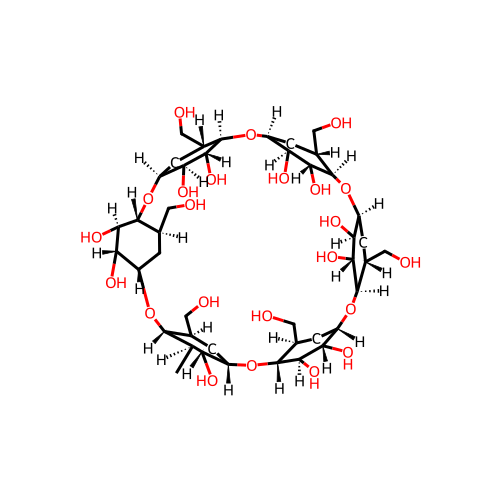 C[C@@H]1[C@@H](O)[C@@H]2C[C@H](CO)[C@H]1O[C@H]1C[C@H](CO)[C@@H](O[C@H]3C[C@H](CO)[C@@H](O[C@H]4C[C@H](CO)[C@@H](O[C@H]5C[C@H](CO)[C@@H](O[C@H]6C[C@H](CO)[C@@H](O2)[C@H](O)[C@H]6O)[C@H](O)[C@H]5O)[C@H](O)[C@H]4O)[C@H](O)[C@H]3O)[C@H](O)[C@H]1O